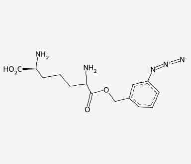 [N-]=[N+]=Nc1cccc(COC(=O)C(N)CCC[C@H](N)C(=O)O)c1